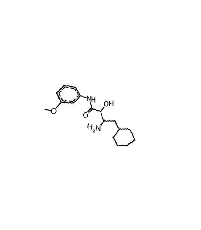 COc1cccc(NC(=O)C(O)[C@H](N)CC2CCCCC2)c1